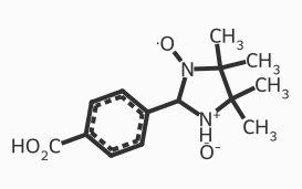 CC1(C)N([O])C(c2ccc(C(=O)O)cc2)[NH+]([O-])C1(C)C